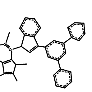 CC1=C(C)C(C)[C]([Zr]([CH]2C=C(c3cc(-c4ccccc4)cc(-c4ccccc4)c3)c3ccccc32)=[Si](C)C)=C1C